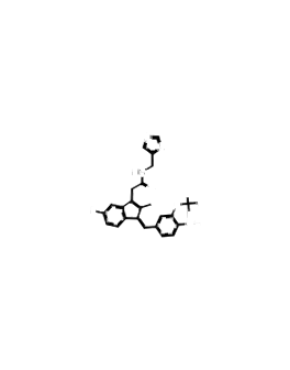 CC1=C(CC(=O)NCc2cocn2)c2cc(F)ccc2C1=Cc1ccc(O)c(OC(F)(F)F)c1